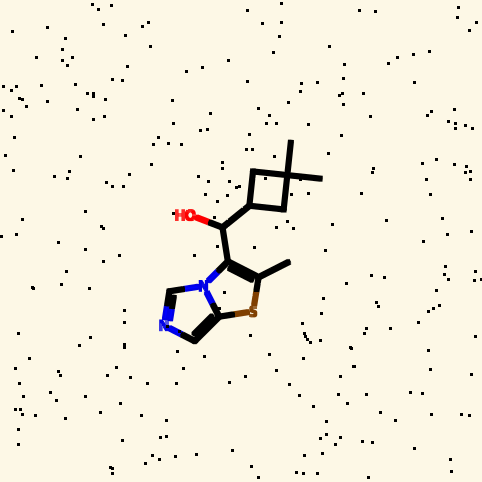 Cc1sc2cncn2c1C(O)C1CC(C)(C)C1